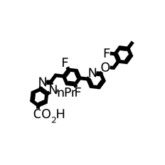 CCCn1c(Cc2cc(F)c(-c3cccc(OCc4ccc(C)cc4F)n3)cc2F)nc2ccc(C(=O)O)cc21